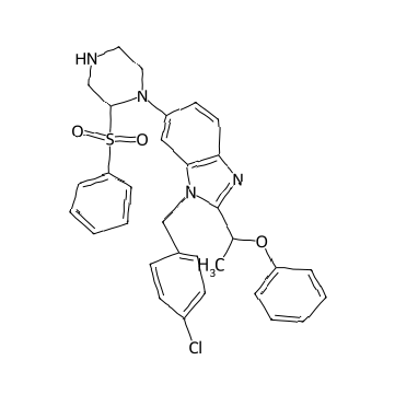 CC(Oc1ccccc1)c1nc2ccc(N3CCNCC3S(=O)(=O)c3ccccc3)cc2n1Cc1ccc(Cl)cc1